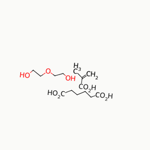 C=C(C)C(=O)O.O=C(O)CCCCC(=O)O.OCCOCCO